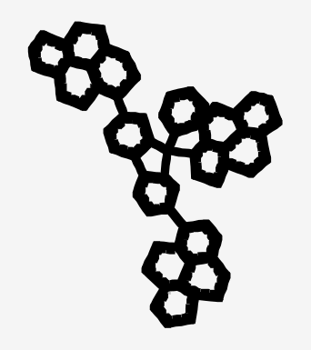 c1ccc(C2(c3ccc4ccc5cccc6ccc3c4c56)c3cc(-c4ccc5ccc6cccc7ccc4c5c67)ccc3-c3ccc(-c4ccc5ccc6cccc7ccc4c5c67)cc32)cc1